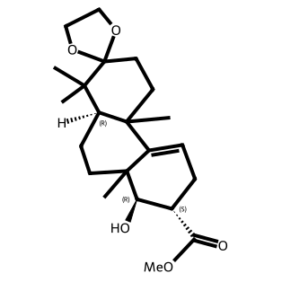 COC(=O)[C@H]1CC=C2C(C)(CC[C@@H]3C2(C)CCC2(OCCO2)C3(C)C)[C@@H]1O